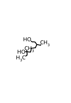 CCC(CCO)CCCC(C)(O)CC